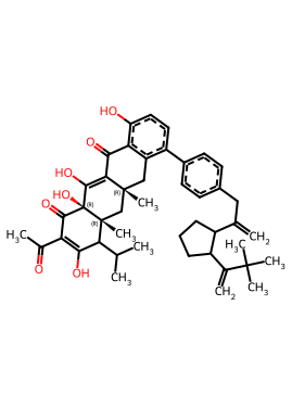 C=C(Cc1ccc(-c2ccc(O)c3c2C[C@]2(C)C[C@]4(C)C(C(C)C)C(O)=C(C(C)=O)C(=O)[C@]4(O)C(O)=C2C3=O)cc1)C1CCCC1C(=C)C(C)(C)C